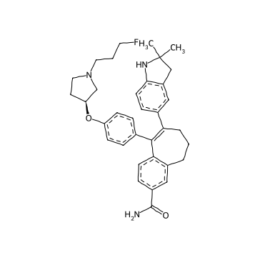 CC1(C)Cc2cc(C3=C(c4ccc(O[C@H]5CCN(CCCF)C5)cc4)c4ccc(C(N)=O)cc4CCC3)ccc2N1